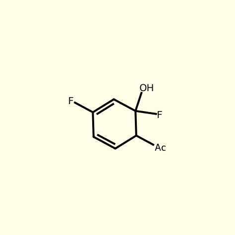 CC(=O)C1C=CC(F)=CC1(O)F